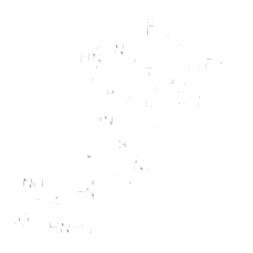 CNC(=O)C1CN(c2cnc3ccc(-c4c[nH]nc4-c4cc(Cl)c(F)cc4F)nc3c2)CCN1